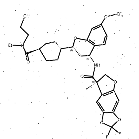 CCN(CCO)C(=O)[C@H]1CC[C@H]([C@H]2C[C@@H](NC(=O)[C@@]3(C)COc4cc5c(cc43)OC(F)(F)O5)c3ccc(OC(F)(F)F)cc3O2)CC1